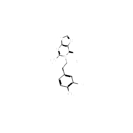 Cc1ccc(CCn2c(N)nc3[nH]cnc3c2=O)cc1C.Cl